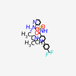 C[C@@H]1CN(c2nc(-c3ccc(C(F)F)cc3)ccc2C(=O)NS(=O)(=O)c2cccnc2N)C(C)(C)C1